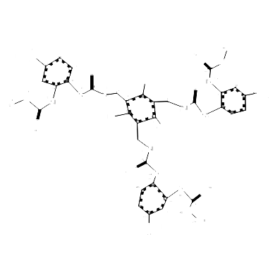 CCOC(=O)c1ccc(NC(=O)NCc2c(CC)c(CNC(=O)Nc3ccc(C(=O)OCC)cc3NC(=O)OC(C)(C)C)c(CC)c(CNC(=O)Nc3ccc(C(=O)OCC)cc3NC(=O)OC(C)(C)C)c2CC)c(NC(=O)OC(C)(C)C)c1